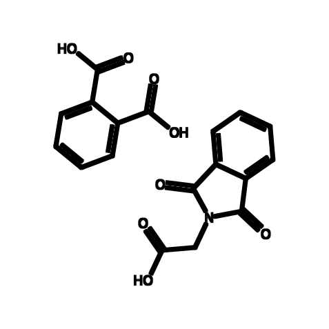 O=C(O)CN1C(=O)c2ccccc2C1=O.O=C(O)c1ccccc1C(=O)O